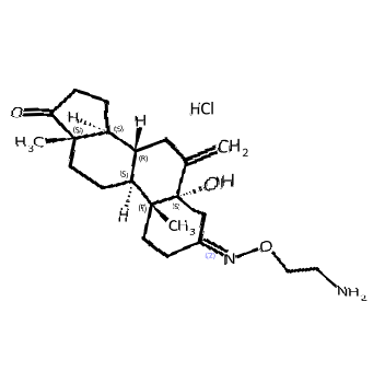 C=C1C[C@H]2[C@@H]3CCC(=O)[C@@]3(C)CC[C@@H]2[C@@]2(C)CC/C(=N/OCCN)C[C@]12O.Cl